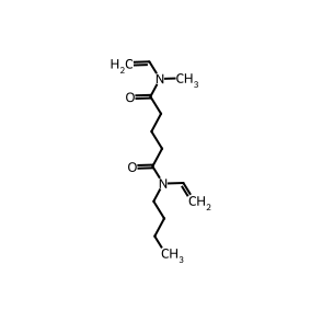 C=CN(C)C(=O)CCCC(=O)N(C=C)CCCC